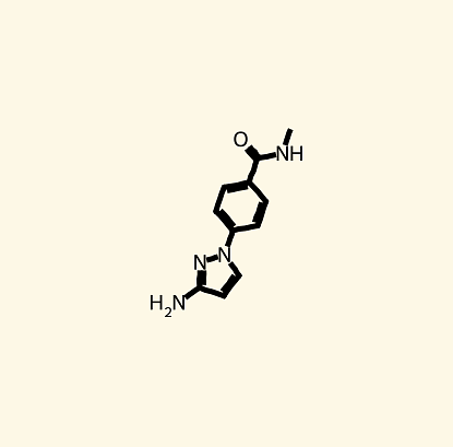 CNC(=O)c1ccc(-n2ccc(N)n2)cc1